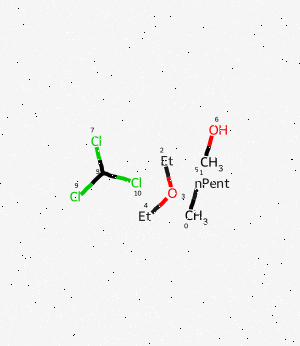 CCCCCC.CCOCC.CO.ClC(Cl)Cl